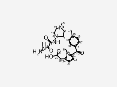 CN1CCN(NC(=O)C(=O)NN)CC1.Cc1ccc(C(=O)c2ccc(CC(=O)O)n2C)cc1